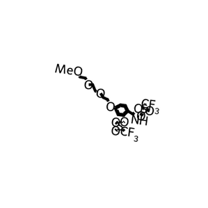 COCCOCCOCCOc1ccc(C(=N)OS(=O)(=O)C(F)(F)F)c(OS(=O)(=O)C(F)(F)F)c1